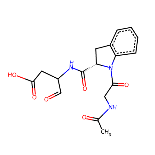 CC(=O)NCC(=O)N1c2ccccc2C[C@H]1C(=O)NC(C=O)CC(=O)O